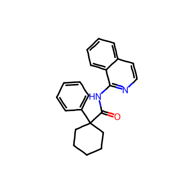 O=C(Nc1nccc2ccccc12)C1(c2ccccc2)CCCCC1